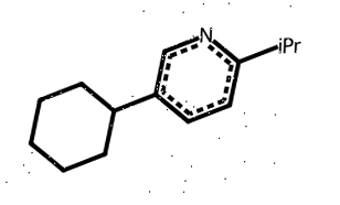 CC(C)c1ccc(C2CCCCC2)cn1